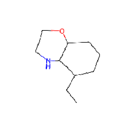 CCC1CCCC2OCCNC12